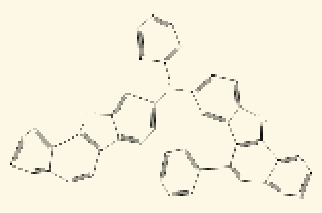 c1ccc(-c2cc3ccccc3c3sc4ccc(N(c5ccccc5)c5ccc6c(c5)sc5c7ccccc7ccc65)cc4c23)cc1